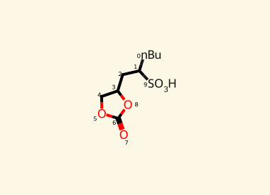 CCCCC(CC1COC(=O)O1)S(=O)(=O)O